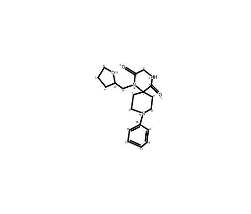 O=C1CNC(=O)C2(CCN(c3ccccc3)CC2)N1CC1CCCO1